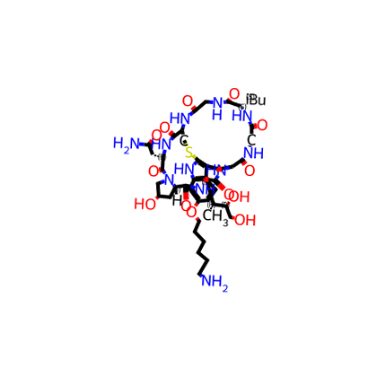 CC[C@H](C)[C@@H]1NC(=O)CNC(=O)C2Cc3c([nH]c4cc(OCCCCCCN)ccc34)SCC(NC(=O)CNC1=O)C(=O)N[C@@H](CC(N)=O)C(=O)N1CC(O)C[C@H]1C(=O)N[C@@H]([C@@H](C)[C@@H](O)CO)C(=O)N2